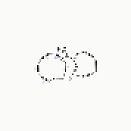 CN1C2=C\C=C/C=C\C=C/C=C(/C=C\2)Sc2cccccccc1c2